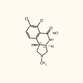 CN1C[C@@H]2NC(=O)c3c(ccc(Cl)c3Cl)[C@H]2C1.Cl